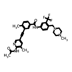 CC(=O)Nc1ncc(C#Cc2cc(C(=O)Nc3ccc(CN4CCN(C)CC4)c(C(F)(F)F)c3)ccc2C)cc1C